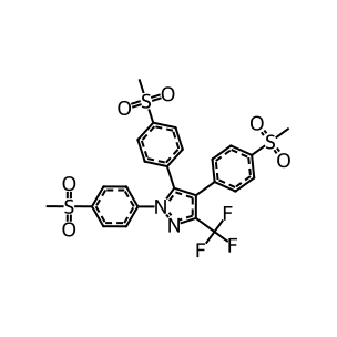 CS(=O)(=O)c1ccc(-c2c(C(F)(F)F)nn(-c3ccc(S(C)(=O)=O)cc3)c2-c2ccc(S(C)(=O)=O)cc2)cc1